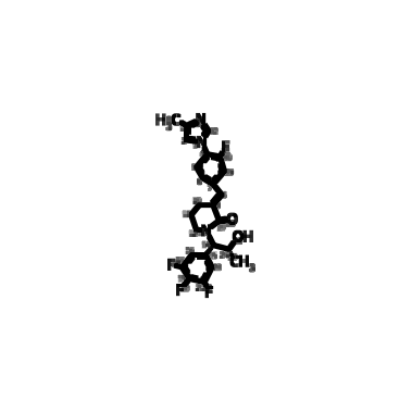 Cc1cn(-c2ccc(C=C3CCCN([C@H](c4cc(F)c(F)c(F)c4)[C@@H](C)O)C3=O)cc2F)cn1